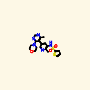 Cc1ncc(-c2c(C)ncnc2N2CCOCC2)cc1NS(=O)(=O)c1cccs1